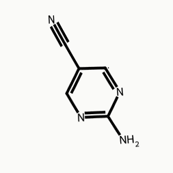 N#Cc1[c]nc(N)nc1